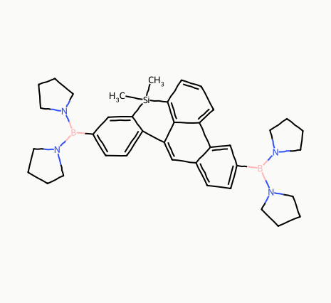 C[Si]1(C)c2cc(B(N3CCCC3)N3CCCC3)ccc2-c2cc3ccc(B(N4CCCC4)N4CCCC4)cc3c3cccc1c23